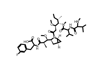 CC[C@H](C)[C@@H]([C@@H](CC(=O)N1[C@H]2C[C@H]2C[C@H]1[C@H](OC)[C@@H](C)C(=O)NC(Cc1cccc(F)c1)C(=O)O)OC)N(C)C(=O)C(NC(=O)C(NC)C(C)C)C(C)C